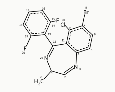 CC1C=Nc2ccc(Br)c(Cl)c2C(c2c(F)cccc2F)=N1